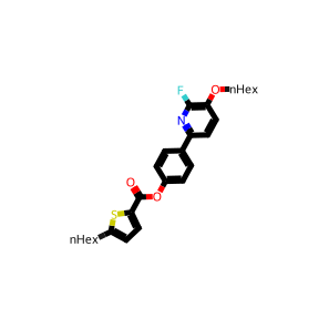 CCCCCCOc1ccc(-c2ccc(OC(=O)c3ccc(CCCCCC)s3)cc2)nc1F